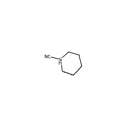 N#C[SiH]1CCCCC1